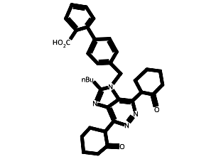 CCCCc1nc2c(C3CCCCC3=O)nnc(C3CCCCC3=O)c2n1Cc1ccc(-c2ccccc2C(=O)O)cc1